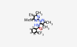 CCc1c(C)nc(-n2nc(C)c(C)c2NC(=O)c2ccccc2C(F)(F)F)nc1NC